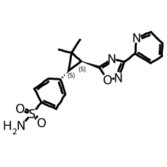 CC1(C)[C@@H](c2ccc(S(N)(=O)=O)cc2)[C@@H]1c1nc(-c2ccccn2)no1